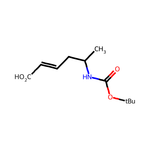 CC(C/C=C/C(=O)O)NC(=O)OC(C)(C)C